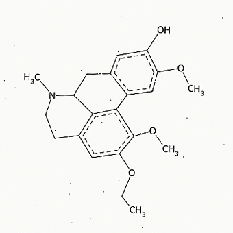 CCOc1cc2c3c(c1OC)-c1cc(OC)c(O)cc1CC3N(C)CC2